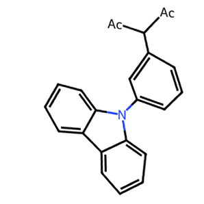 CC(=O)C(C(C)=O)c1cccc(-n2c3ccccc3c3ccccc32)c1